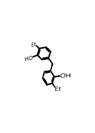 CCc1ccc(Cc2cccc(CC)c2O)cc1O